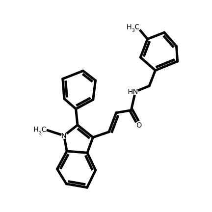 Cc1cccc(CNC(=O)/C=C/c2c(-c3ccccc3)n(C)c3ccccc23)c1